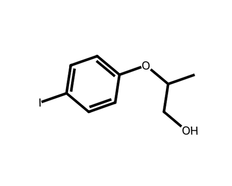 CC(CO)Oc1ccc(I)cc1